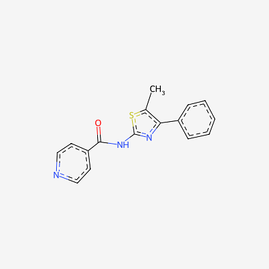 Cc1sc(NC(=O)c2ccncc2)nc1-c1ccccc1